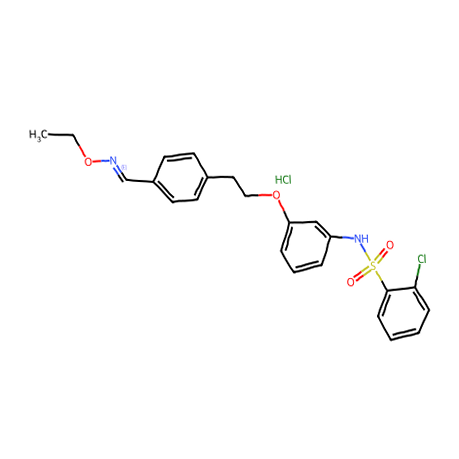 CCO/N=C/c1ccc(CCOc2cccc(NS(=O)(=O)c3ccccc3Cl)c2)cc1.Cl